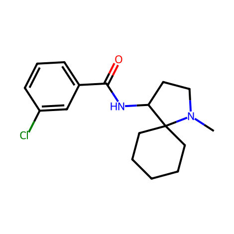 CN1CCC(NC(=O)c2cccc(Cl)c2)C12CCCCC2